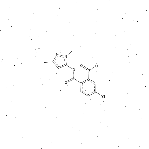 Cc1cc(OC(=O)c2ccc(Cl)cc2[N+](=O)[O-])n(C)n1